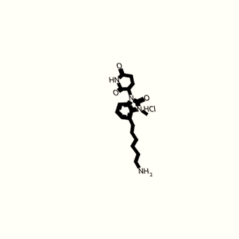 Cl.Cn1c(=O)n(C2CCC(=O)NC2=O)c2cccc(CCCCCCN)c21